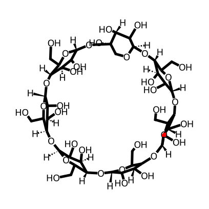 OCC1O[C@H]2OC3C(CO)O[C@@H](O[C@@H]4C(CO)O[C@@H](O[C@H]5C(CO)O[C@H](O[C@@H]6C(CO)O[C@H](O[C@]7(O)CO[C@H](O[C@@H]8C(CO)O[C@H](OC1[C@H](O)C2O)C(O)[C@H]8O)C(O)[C@H]7O)C(O)[C@H]6O)C(O)[C@H]5O)C(O)[C@H]4O)C(O)[C@H]3O